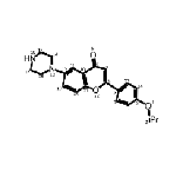 CC(C)Oc1ccc(-c2cc(=O)c3cc(N4CCNCC4)ccc3o2)cc1